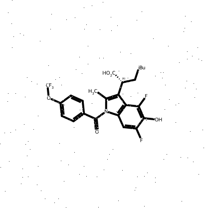 CCC(C)C[C@@H](C(=O)O)c1c(C)n(C(=O)c2ccc(OC(F)(F)F)cc2)c2cc(F)c(O)c(F)c12